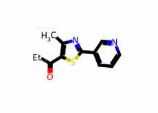 CCC(=O)c1sc(-c2cccnc2)nc1C